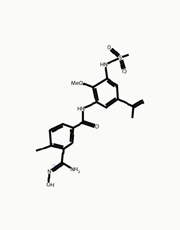 C=C(C)c1cc(NC(=O)c2ccc(C)c(/C(N)=N/O)c2)c(OC)c(NS(C)(=O)=O)c1